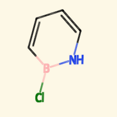 ClB1C=CC=CN1